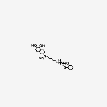 CCCN(CCCCCCNCCSc1ccccc1OC)[C@H]1CCc2c(ccc(O)c2O)C1